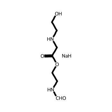 O=CNCCOC(=O)CNCCO.[NaH]